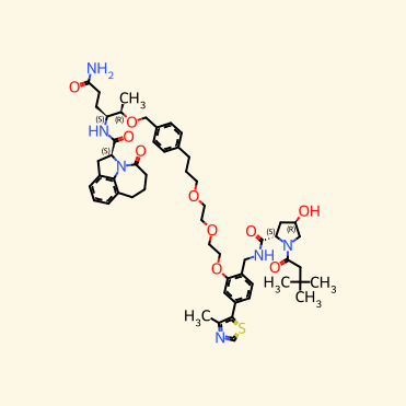 Cc1ncsc1-c1ccc(CNC(=O)[C@@H]2C[C@@H](O)CN2C(=O)CC(C)(C)C)c(OCCOCCOCCCc2ccc(CO[C@H](C)[C@H](CCC(N)=O)NC(=O)[C@@H]3Cc4cccc5c4N3C(=O)CCC5)cc2)c1